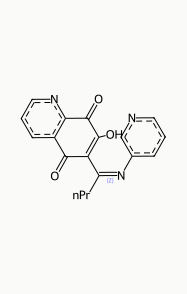 CCC/C(=N/c1cccnc1)C1=C(O)C(=O)c2ncccc2C1=O